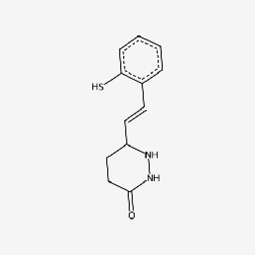 O=C1CCC(/C=C/c2ccccc2S)NN1